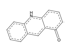 O=c1[c]ccc2[nH]c3ccccc3cc1-2